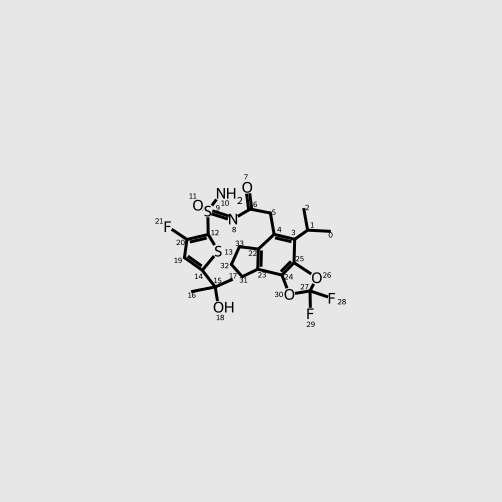 CC(C)c1c(CC(=O)N=S(N)(=O)c2sc(C(C)(C)O)cc2F)c2c(c3c1OC(F)(F)O3)CCC2